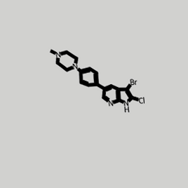 CN1CCN(c2ccc(-c3cnc4[nH]c(Cl)c(Br)c4c3)cc2)CC1